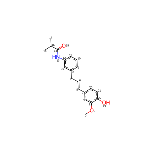 COc1cc(/C=C/Cc2cccc(NC(=O)C(C)C)c2)ccc1O